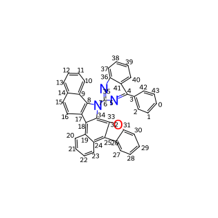 c1ccc(-c2nc(-n3c4c5ccccc5ccc4c4c5ccccc5c5c6ccccc6oc5c43)nc3ccccc23)cc1